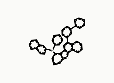 c1ccc(-c2cccc(-c3cc4c(oc5cccc(N(c6ccccc6)c6ccc7ccccc7c6)c54)c4ccccc34)c2)cc1